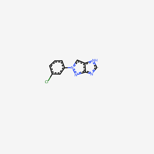 Clc1cccc(-n2cc3[nH][c]nc3n2)c1